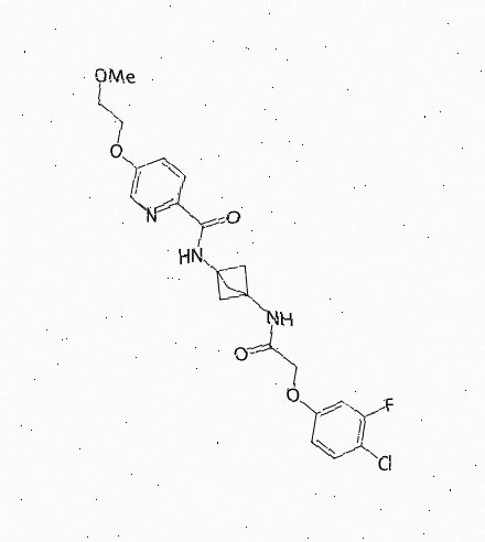 COCCOc1ccc(C(=O)NC23CC(NC(=O)COc4ccc(Cl)c(F)c4)(C2)C3)nc1